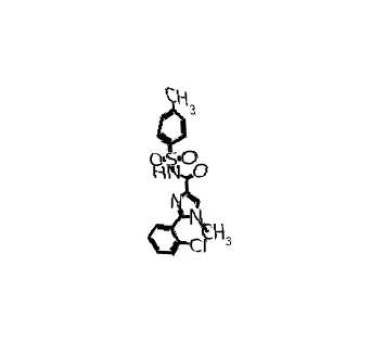 Cc1ccc(S(=O)(=O)NC(=O)c2cn(C)c(-c3ccccc3Cl)n2)cc1